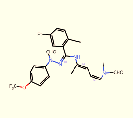 CCc1ccc(C)c(/C(=N\N(C=O)c2ccc(OC(F)(F)F)cc2)N/C(C)=C/C=C\N(C)C=O)c1